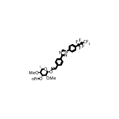 CCCO[C@@H]1[C@@H](OC)[C@H](C)O[C@@H](O/N=C/c2ccc(-c3ncn(-c4ccc(C(F)(F)C(F)(F)C(F)(F)F)cc4)n3)cc2)[C@@H]1OC